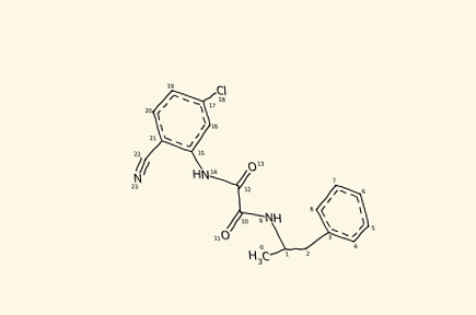 CC(Cc1ccccc1)NC(=O)C(=O)Nc1cc(Cl)ccc1C#N